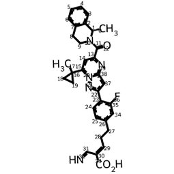 C[C@@H]1c2ccccc2CCN1C(=O)c1cc(C2(C)CC2)n2nc(-c3ccc(CC/C=C(\C=N)C(=O)O)cc3F)cc2n1